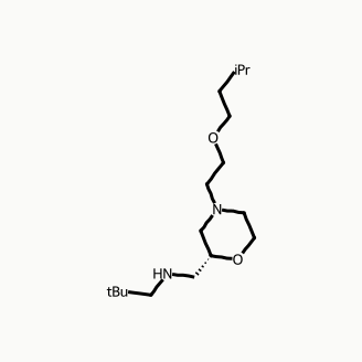 CC(C)CCOCCN1CCO[C@H](CNCC(C)(C)C)C1